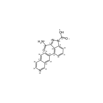 NC(=O)c1nn(C(=O)O)c2cccc(-c3ccc4ccncc4c3)c12